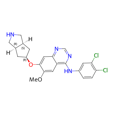 COc1cc2c(Nc3ccc(Cl)c(Cl)c3)ncnc2cc1O[C@H]1C[C@H]2CNC[C@H]2C1